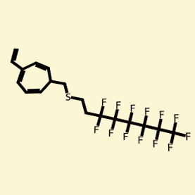 C=CC1=CC=CC(CSCCC(F)(F)C(F)(F)C(F)(F)C(F)(F)C(F)(F)C(F)(F)F)C=C1